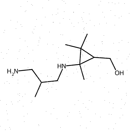 CC(CN)CNC1(C)C(CO)C1(C)C